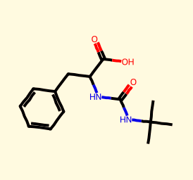 CC(C)(C)NC(=O)NC(Cc1ccccc1)C(=O)O